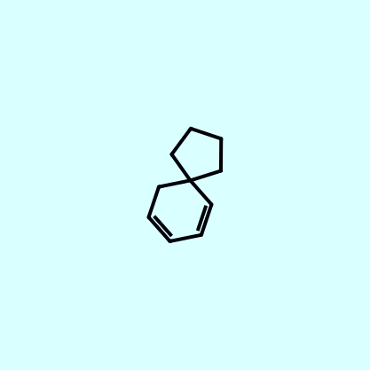 C1=CCC2(C=C1)CCCC2